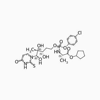 C[C@H](N[P@](=O)(OCC[C@H](O)[C@@](C)(O)[C@@H](O)n1ccc(=O)[nH]c1=S)Oc1ccc(Cl)cc1)C(=O)OC1CCCC1